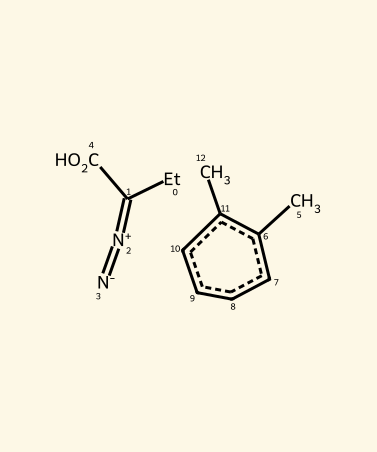 CCC(=[N+]=[N-])C(=O)O.Cc1ccccc1C